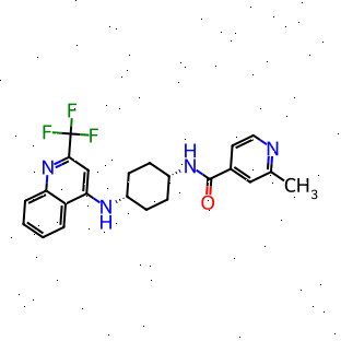 Cc1cc(C(=O)N[C@H]2CC[C@@H](Nc3cc(C(F)(F)F)nc4ccccc34)CC2)ccn1